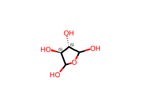 OC1OC(O)[C@@H](O)[C@@H]1O